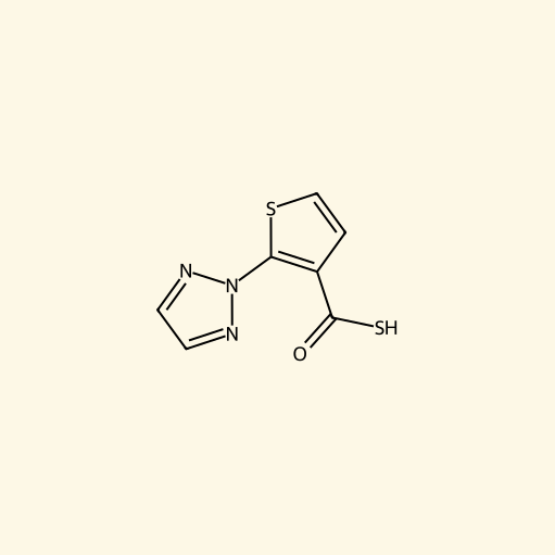 O=C(S)c1ccsc1-n1nccn1